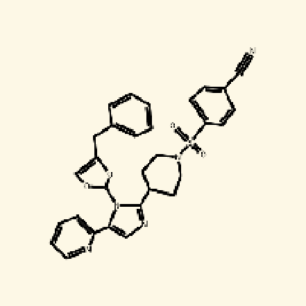 N#Cc1ccc(S(=O)(=O)N2CCC(c3ncc(-c4ccccn4)n3C3OC=C(Cc4ccccc4)O3)CC2)cc1